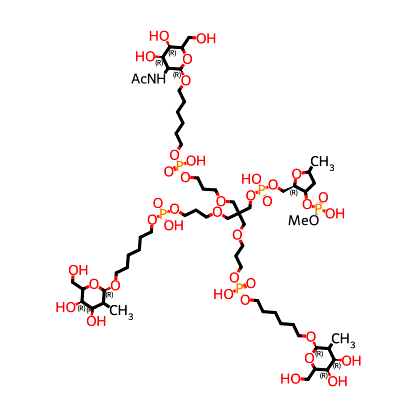 COP(=O)(O)OC1CC(C)O[C@@H]1COP(=O)(O)OCC(COCCCOP(=O)(O)OCCCCCCO[C@@H]1OC(CO)[C@H](O)[C@H](O)C1C)(COCCCOP(=O)(O)OCCCCCCO[C@@H]1OC(CO)[C@H](O)[C@H](O)C1C)COCCCOP(=O)(O)OCCCCCCO[C@@H]1OC(CO)[C@H](O)[C@H](O)C1NC(C)=O